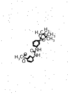 CC1(C)OB(c2cccc(NC(=O)NC3C=C(S(C)(=O)=O)C=CC3)c2)OC1(C)C